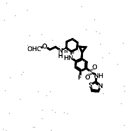 O=COCCN[C@H]1CCCC[C@@H]1Nc1cc(F)c(S(=O)(=O)Nc2nccs2)cc1C1CC1